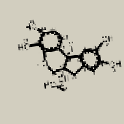 CO.Oc1cc2c(cc1O)[C@@H]1c3ccc(O)c(O)c3OC[C@]1(O)C2